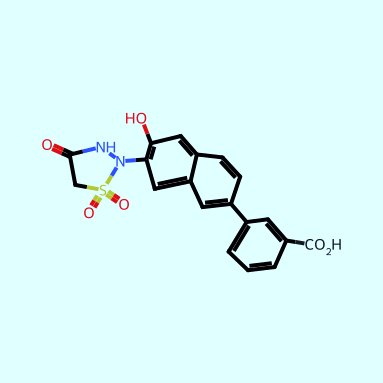 O=C1CS(=O)(=O)N(c2cc3cc(-c4cccc(C(=O)O)c4)ccc3cc2O)N1